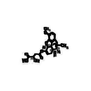 COc1ccc2c3c1O[C@@H]1C(OC(=O)C[C@@H](O)C(=O)O)=CC[C@]4(O)[C@H](C2)N(C)CC[C@@]314